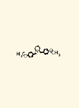 COc1ccc(CC2CCCCN2Cc2ccc(OC)cc2)cc1